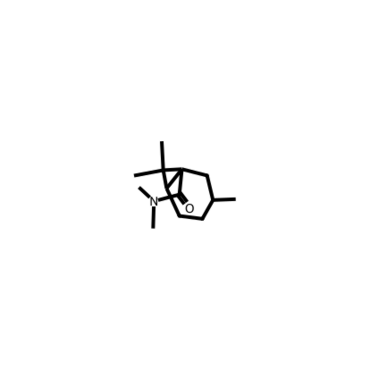 CC1CCC2C(C)(C)C2(C(=O)N(C)C)C1